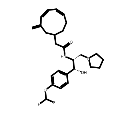 C=C1/C=C\C=C/CCC(CC(=O)N[C@H](CN2CCCC2)[C@H](O)c2ccc(OC(F)F)cc2)C1